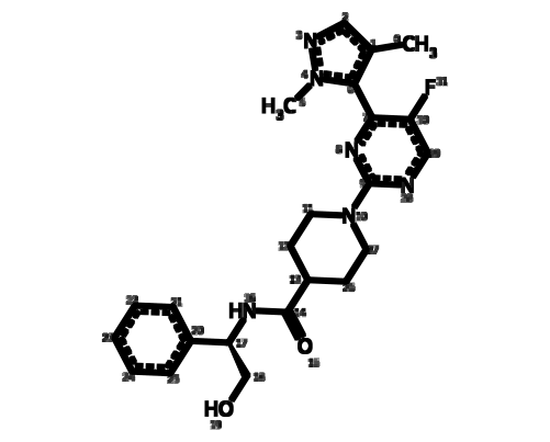 Cc1cnn(C)c1-c1nc(N2CCC(C(=O)N[C@@H](CO)c3ccccc3)CC2)ncc1F